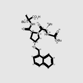 CC[C@@H](C)C(C)(NC(=O)[C@@H]1C[C@@H](OCc2cccc3ccccc23)CN1C(=O)[C@@H](NC(=O)OCC(C)C)C(C)C)C(=O)O